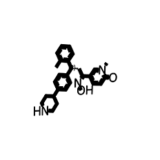 Cc1ccccc1[C@H](CC(=NO)c1ccc(=O)n(C)c1)c1ccc(C2CCNCC2)cc1